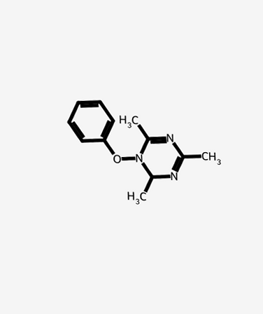 CC1=NC(C)N(Oc2ccccc2)C(C)=N1